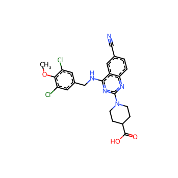 COc1c(Cl)cc(CNc2nc(N3CCC(C(=O)O)CC3)nc3ccc(C#N)cc23)cc1Cl